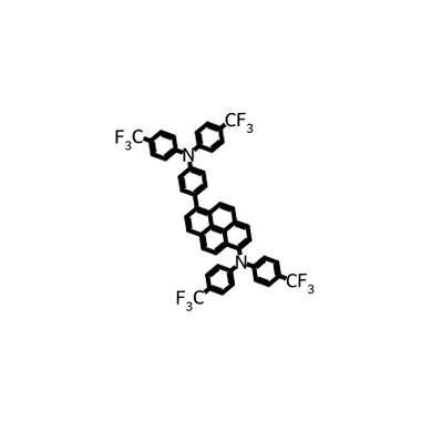 FC(F)(F)c1ccc(N(c2ccc(-c3ccc4ccc5c(N(c6ccc(C(F)(F)F)cc6)c6ccc(C(F)(F)F)cc6)ccc6ccc3c4c65)cc2)c2ccc(C(F)(F)F)cc2)cc1